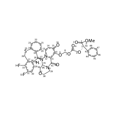 COC(=O)[C@@H](OC(=O)OCOc1c2n(ccc1=O)N([C@@H]1c3ccccc3SCc3c1ccc(F)c3F)[C@@H]1COCCN1C2=O)c1ccccc1